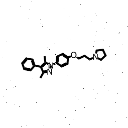 Cc1nn(-c2ccc(OCCCN3CCCC3)cc2)c(C)c1-c1ccccc1